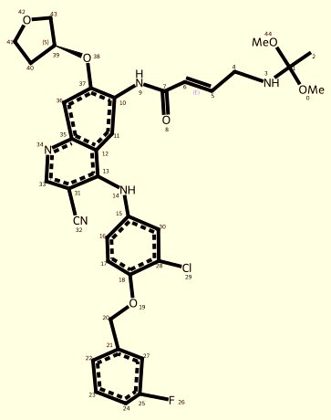 COC(C)(NC/C=C/C(=O)Nc1cc2c(Nc3ccc(OCc4cccc(F)c4)c(Cl)c3)c(C#N)cnc2cc1O[C@H]1CCOC1)OC